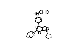 O=CNc1ccc(-c2nc(N3CCOCC3)nc3c2cnn3C2CCCC2)cc1